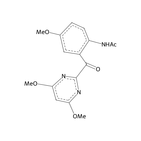 COc1ccc(NC(C)=O)c(C(=O)c2nc(OC)cc(OC)n2)c1